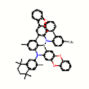 Cc1cc2c3c(c1)N(c1cc4c(cc1C)C(C)(C)CCC4(C)C)c1cc4c(cc1B3N(c1ccc(C(C)(C)C)cc1-c1ccccc1)c1cc3oc5ccccc5c3cc1-2)Oc1ccccc1O4